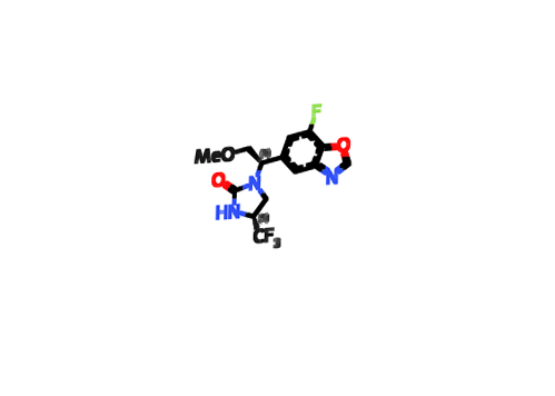 COC[C@@H](c1cc(F)c2ocnc2c1)N1C[C@@H](C(F)(F)F)NC1=O